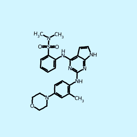 Cc1cc(N2CCOCC2)ccc1Nc1nc(Nc2ccccc2S(=O)(=O)N(C)C)c2cc[nH]c2n1